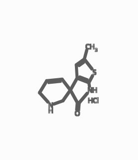 Cc1cc2c(s1)NC(=O)C21C=CCNC1.Cl